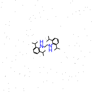 CC(C)c1cccc(C(C)C)c1NCCNc1c(C(C)C)cccc1C(C)C